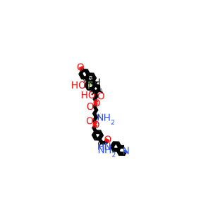 C[C@@H]1C[C@H]2[C@@H]3CCC4=CC(=O)C=C[C@]4(C)[C@@]3(F)[C@@H](O)C[C@]2(C)[C@@]1(O)C(=O)COC(=O)CC[C@H](N)C(=O)OCc1ccc([C@@H](CN)C(=O)Nc2ccc3cnccc3c2)cc1